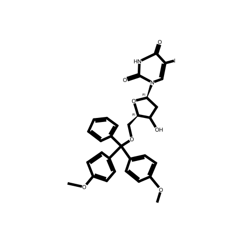 COc1ccc(C(OC[C@H]2O[C@@H](n3cc(I)c(=O)[nH]c3=O)CC2O)(c2ccccc2)c2ccc(OC)cc2)cc1